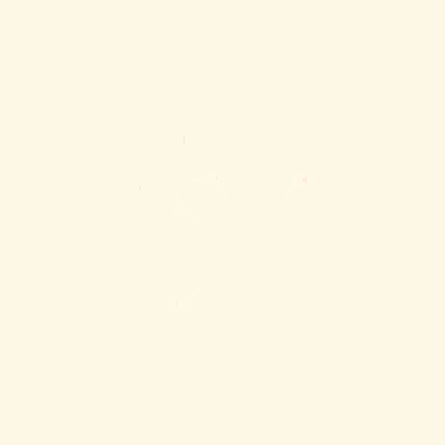 CCC1(C)OC(CO)C(CO)O1